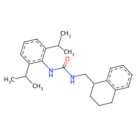 CC(C)c1cccc(C(C)C)c1NC(=O)NCC1CCCc2ccccc21